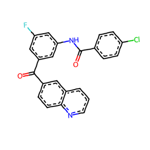 O=C(Nc1cc(F)cc(C(=O)c2ccc3ncccc3c2)c1)c1ccc(Cl)cc1